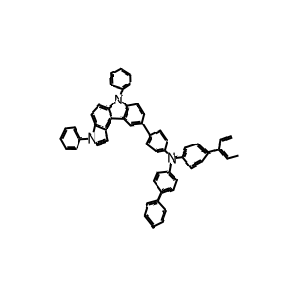 C=C/C(=C\C)c1ccc(N(c2ccc(-c3ccccc3)cc2)c2ccc(-c3ccc4c(c3)c3c5ccn(-c6ccccc6)c5ccc3n4-c3ccccc3)cc2)cc1